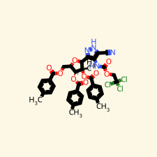 Cc1ccc(C(=O)OCC2OC(c3n[nH]c(C#N)c3NC(=O)OCC(Cl)(Cl)Cl)[C@](C)(OC(=O)c3ccc(C)cc3)[C@@H]2OC(=O)c2ccc(C)cc2)cc1